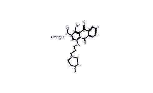 CN1CCN(CCCOc2cc(CCl)c(O)c3c2C(=O)c2ccccc2C3=O)CC1.Cl.Cl